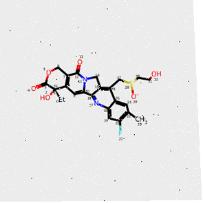 CC[C@@]1(O)C(=O)OCc2c1cc1n(c2=O)Cc2c-1nc1cc(F)c(C)cc1c2C[S+]([O-])CCO